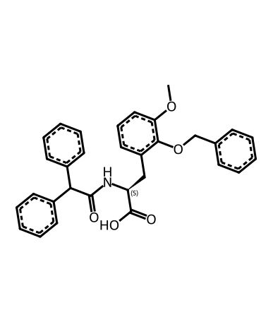 COc1cccc(C[C@H](NC(=O)C(c2ccccc2)c2ccccc2)C(=O)O)c1OCc1ccccc1